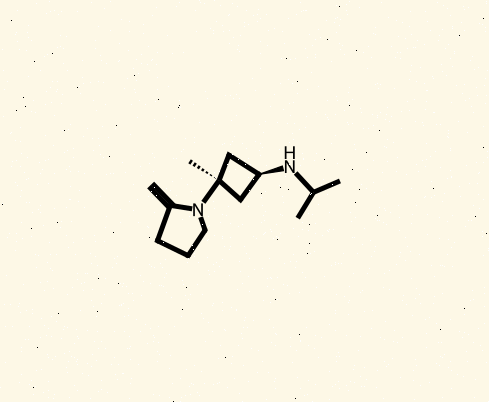 C=C1CCCN1[C@]1(C)C[C@H](NC(C)C)C1